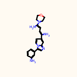 N/C(=C\C=C(/N)N1CCOCC1)c1ccn2c(-c3cccc(N)c3)cnc2c1